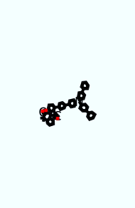 CC1(C)c2ccccc2C2(c3ccccc3-c3c(-c4ccc(-c5ccc(N(c6ccc(-c7ccccc7)cc6)c6ccc(-c7ccccc7)cc6)cc5)cc4)cccc32)c2ccccc21